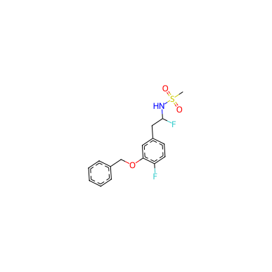 CS(=O)(=O)NC(F)Cc1ccc(F)c(OCc2ccccc2)c1